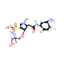 Cn1cc2c(c1C(=O)Nc1ccc(F)c(N)c1)OCC(C)(CO)NS2(=O)=O